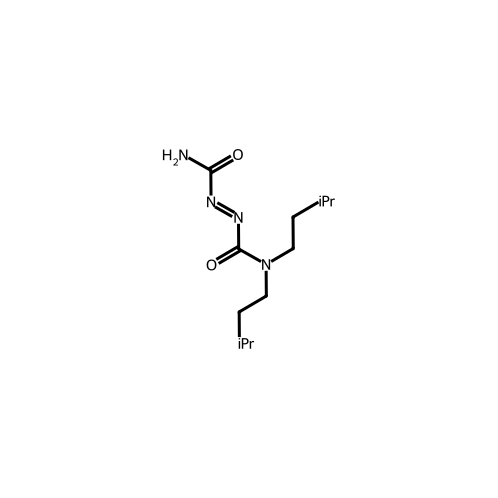 CC(C)CCN(CCC(C)C)C(=O)N=NC(N)=O